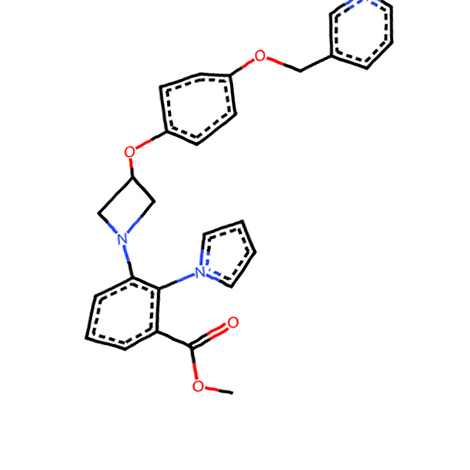 COC(=O)c1cccc(N2CC(Oc3ccc(OCc4cccnc4)cc3)C2)c1-n1cccc1